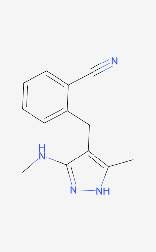 CNc1n[nH]c(C)c1Cc1ccccc1C#N